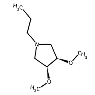 CCCN1C[C@H](OC)[C@H](OC)C1